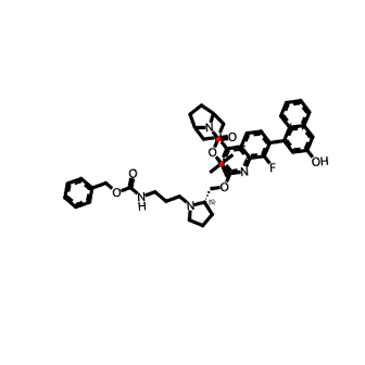 CC(C)(C)OC(=O)N1C2CCC1CN(c1nc(OC[C@@H]3CCCN3CCCNC(=O)OCc3ccccc3)nc3c(F)c(-c4cc(O)cc5ccccc45)ccc13)C2